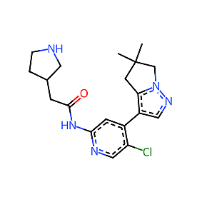 CC1(C)Cc2c(-c3cc(NC(=O)CC4CCNC4)ncc3Cl)cnn2C1